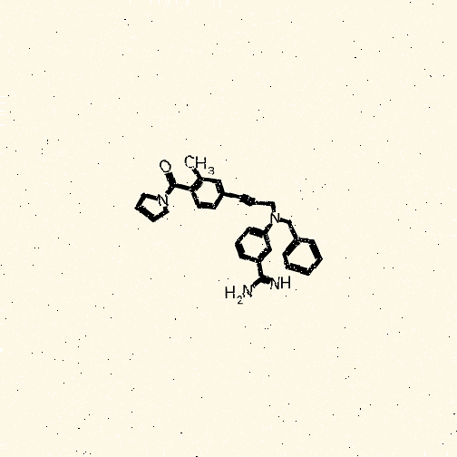 Cc1cc(C#CCN(Cc2ccccc2)c2cccc(C(=N)N)c2)ccc1C(=O)N1CC=CC1